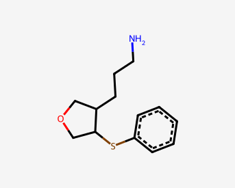 NCCCC1COCC1Sc1ccccc1